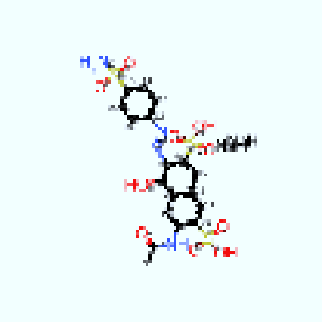 CC(=O)Nc1cc2c(O)c(N=Nc3ccc(S(N)(=O)=O)cc3)c(S(=O)(=O)O)cc2cc1S(=O)(=O)O.[NaH].[NaH]